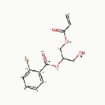 C=CC(=O)OCC(CO)OC(=O)c1ccccc1Br